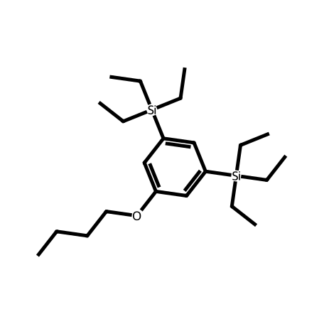 CCCCOc1cc([Si](CC)(CC)CC)cc([Si](CC)(CC)CC)c1